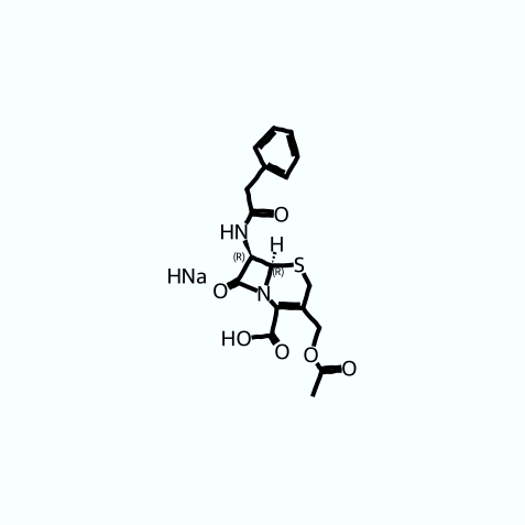 CC(=O)OCC1=C(C(=O)O)N2C(=O)[C@@H](NC(=O)Cc3ccccc3)[C@H]2SC1.[NaH]